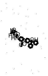 COC(=O)c1cc(NC(=O)Nc2c(C)noc2C)ccc1N1CCC(C(O)(c2ccccc2)c2ccccc2)CC1